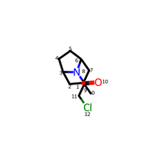 CC1CC2CCC(C1)N2C(=O)CCl